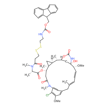 COc1cc2cc(c1Cl)N(C)C(=O)C[C@H](OC(=O)[C@H](C)N(C)C(=O)CCSSCCNC(=O)OCC1c3ccccc3-c3ccccc31)[C@@]1(C)C[C@H]1[C@H](C)[C@@H]1C[C@@](O)(NC(=O)O1)[C@H](OC)/C=C/C=C(\C)C2